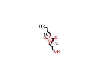 CCCCOC(C)=O.CCOCC.OCCCO